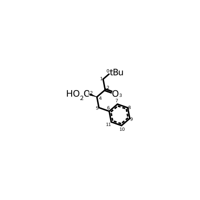 CC(C)(C)CC(=O)[C@@H](Cc1ccccc1)C(=O)O